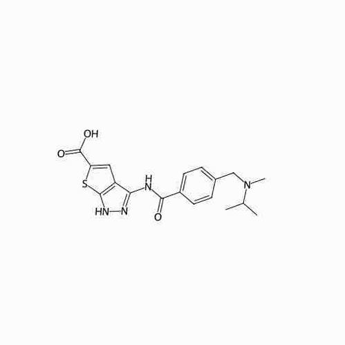 CC(C)N(C)Cc1ccc(C(=O)Nc2n[nH]c3sc(C(=O)O)cc23)cc1